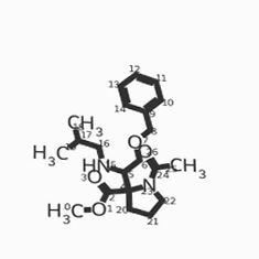 COC(=O)C1(C(COCc2ccccc2)NCC(C)C)CCCN1C(C)=O